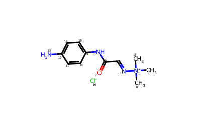 C[N+](C)(C)N=CC(=O)Nc1ccc(N)cc1.[Cl-]